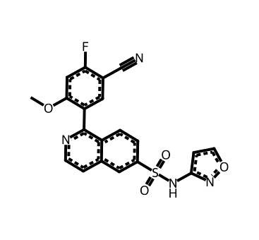 COc1cc(F)c(C#N)cc1-c1nccc2cc(S(=O)(=O)Nc3ccon3)ccc12